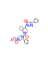 CC(C)(C)OC(=O)N1CCN(C(=O)N2CCC(=Cn3cnc(-c4ccccc4)cc3=O)C3(CCCC3)C2)C(c2ccccc2)C1